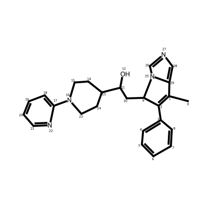 CC1=C(c2ccccc2)C(CC(O)C2CCN(c3ccccn3)CC2)n2cncc21